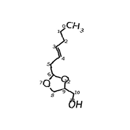 CCCC=CCC1OCC(CO)O1